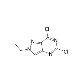 CCn1cc2nc(Cl)nc(Cl)c2n1